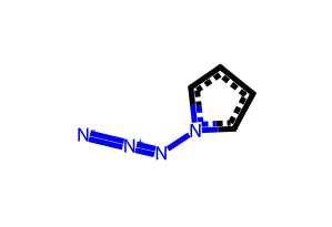 [N-]=[N+]=Nn1cccc1